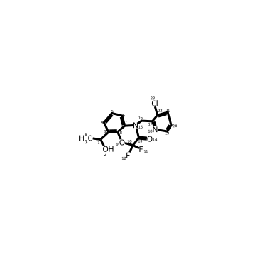 CC(O)c1cccc2c1OC(F)(F)C(=O)N2Cc1ncccc1Cl